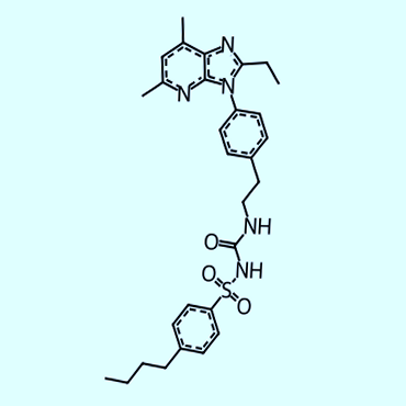 CCCCc1ccc(S(=O)(=O)NC(=O)NCCc2ccc(-n3c(CC)nc4c(C)cc(C)nc43)cc2)cc1